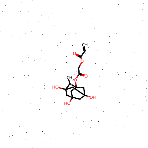 C=CC(=O)OCC(=O)OC12CC3(O)CC(O)(CC(O)(C3)C1C)C2